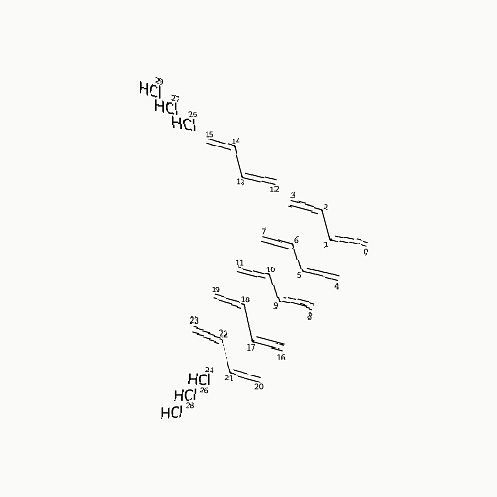 C=CC=C.C=CC=C.C=CC=C.C=CC=C.C=CC=C.C=CC=C.Cl.Cl.Cl.Cl.Cl.Cl